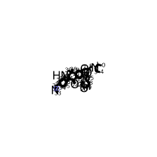 CCN(CC)CCOc1cc2c(cc1[SH](C)(=O)N1CCOCC1)C(=O)c1c([nH]c3cc(/C=N\C)ccc13)C2(C)C